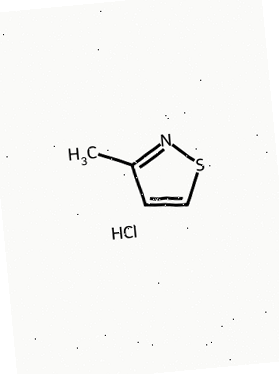 Cc1ccsn1.Cl